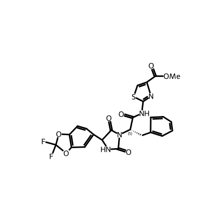 COC(=O)c1csc(NC(=O)[C@H](Cc2ccccc2)N2C(=O)NC(c3ccc4c(c3)OC(F)(F)O4)C2=O)n1